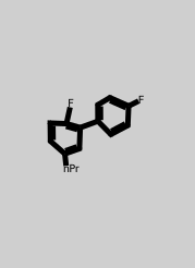 [CH2]CCc1ccc(F)c(-c2ccc(F)cc2)c1